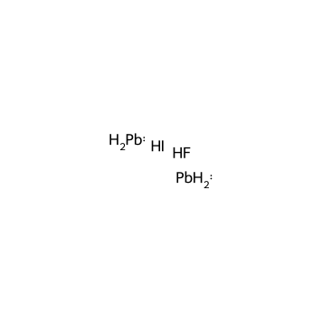 F.I.[PbH2].[PbH2]